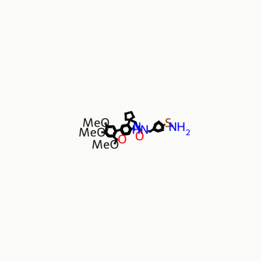 COC(=O)c1cc(OC)c(OC)cc1-c1ccc2c(c1)C1(CCCC1)CN2C(=O)NCc1ccc(SN)cc1